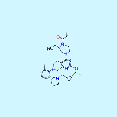 C=CC(=O)N1CCN(c2nc(O[C@H](C)C3CC3CN3CCCC3)nc3c2CCN(c2ccccc2C)C3)CC1CC#N